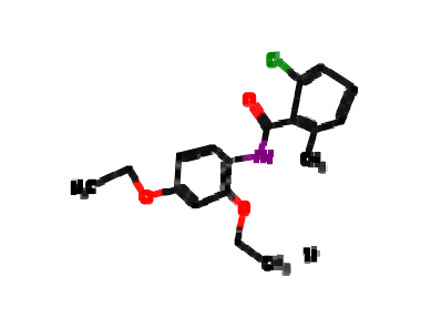 CCOc1ccc(PC(=O)c2c(C)cccc2Cl)c(OCC)c1.[Li]